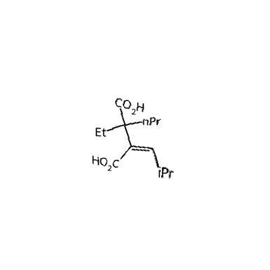 CCCC(CC)(C(=O)O)C(=CC(C)C)C(=O)O